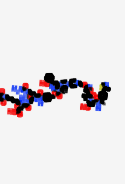 Cc1ncsc1-c1ccc([C@H](C)NC(=O)[C@@H]2C[C@@H](O)CN2C(=O)[C@@H](c2cc(OCCN3CCC(N4CCN5c6cc(-c7ccccc7O)nnc6N(C(=O)OCc6ccc(NC(=O)[C@H](CCCNC(N)=O)NC(=O)CNC(=O)[C@H](CCC(=O)O)NC(=O)CCCCCN7C(=O)C=CC7=O)cc6)[C@@H](C)[C@@H]5C4)CC3)no2)C(C)C)cc1